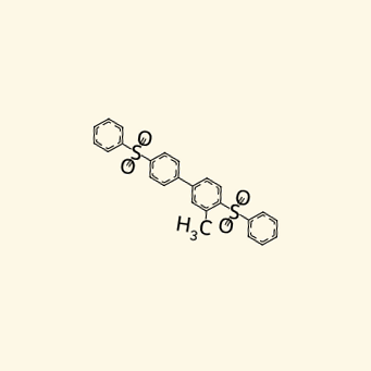 Cc1cc(-c2ccc(S(=O)(=O)c3ccccc3)cc2)ccc1S(=O)(=O)c1ccccc1